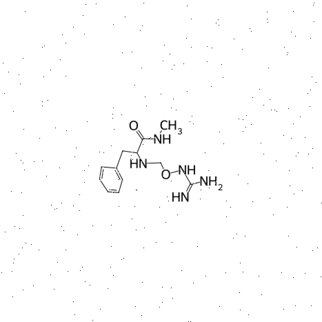 CNC(=O)C(Cc1ccccc1)NCONC(=N)N